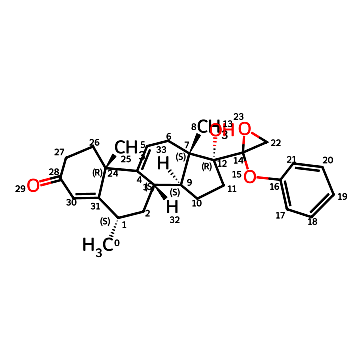 C[C@H]1C[C@@H]2C(=CC[C@@]3(C)[C@H]2CC[C@]3(O)C2(Oc3ccccc3)CO2)[C@@]2(C)CCC(=O)C=C12